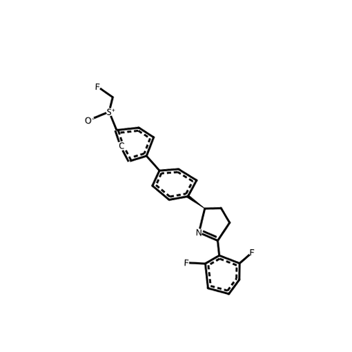 [O-][S+](CF)c1ccc(-c2ccc([C@H]3CCC(c4c(F)cccc4F)=N3)cc2)cc1